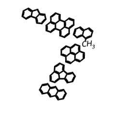 Cc1cccc2ccccc12.c1cc2ccc3cccc4ccc(c1)c2c34.c1cc2cccc3c4cccc5cccc(c(c1)c23)c54.c1ccc2c(c1)-c1cccc3cccc-2c13.c1ccc2c(c1)Cc1ccccc1-2.c1ccc2cc3ccccc3cc2c1